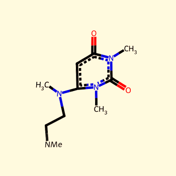 CNCCN(C)c1cc(=O)n(C)c(=O)n1C